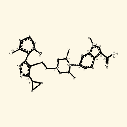 CC1CN(CCc2c(-c3c(Cl)cccc3Cl)noc2C2CC2)C[C@@H](C)N1c1ccc2c(C(=O)O)cn(C)c2c1